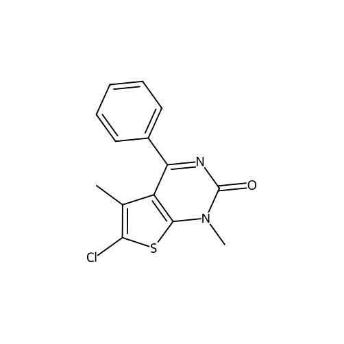 Cc1c(Cl)sc2c1c(-c1ccccc1)nc(=O)n2C